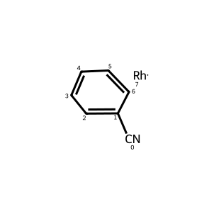 N#Cc1ccccc1.[Rh]